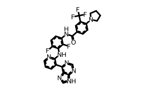 O=C(Nc1ccc(F)c(Nc2ncccc2-c2ncnc3[nH]cnc23)c1F)c1ccc(N2CCCC2)c(C(F)(F)F)c1